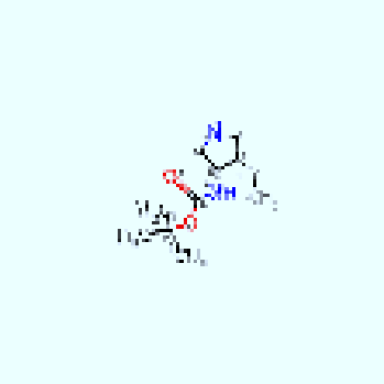 CC[C@H]1CNC[C@H]1NC(=O)OC(C)(C)C